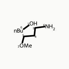 CCCCO.COCCCN